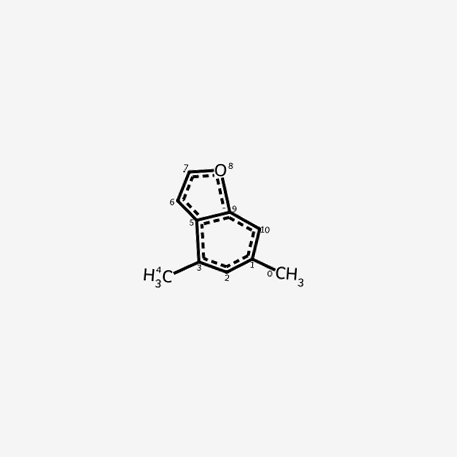 Cc1cc(C)c2c[c]oc2c1